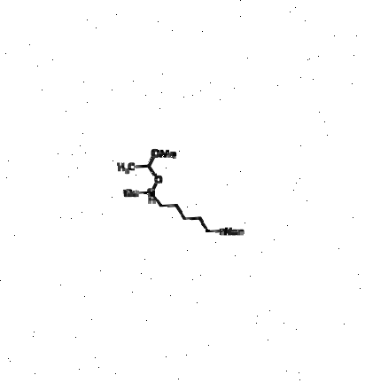 CCCCCCCCCCCCCC[SiH](OC(C)OC)C(C)(C)C